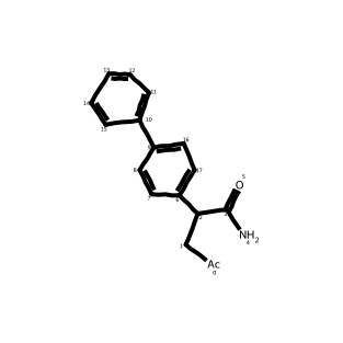 CC(=O)CC(C(N)=O)c1ccc(-c2ccccc2)cc1